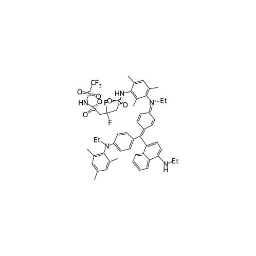 CCNc1ccc(C(=C2C=CC(=[N+](CC)c3c(C)cc(C)c(NS(=O)(=O)CC(F)(F)CS(=O)(=O)NS(=O)(=O)C(F)(F)F)c3C)C=C2)c2ccc(N(CC)c3c(C)cc(C)cc3C)cc2)c2ccccc12